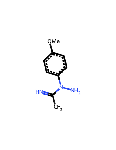 COc1ccc(N(N)C(=N)C(F)(F)F)cc1